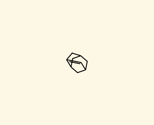 [C]1C2=CC3CC1CC2C3